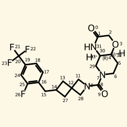 O=C1CO[C@H]2CCN(C(=O)N3CC4(CC(Cc5ccc(C(F)(F)F)cc5F)C4)C3)C[C@H]2N1